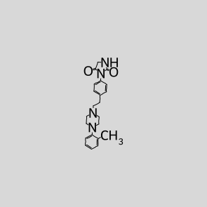 Cc1ccccc1N1CCN(CCc2ccc(N3C(=O)CNC3=O)cc2)CC1